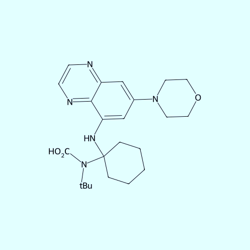 CC(C)(C)N(C(=O)O)C1(Nc2cc(N3CCOCC3)cc3nccnc23)CCCCC1